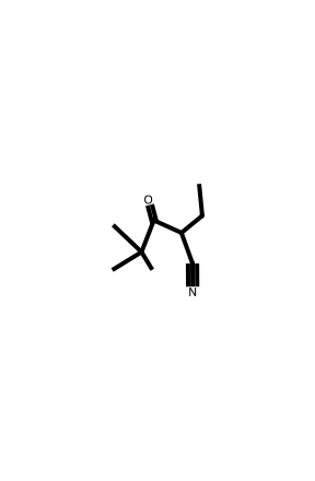 CCC(C#N)C(=O)C(C)(C)C